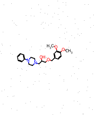 COc1ccc(COCC(O)CN2CCN(c3ccccc3)CC2)cc1OC